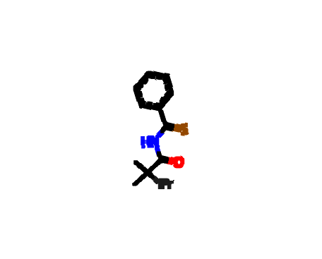 CC(C)C(C)(C)C(=O)NC(=S)c1ccccc1